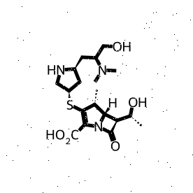 C[C@@H](O)[C@H]1C(=O)N2C(C(=O)O)=C(S[C@@H]3CN[C@@H](CC(CO)N(C)C)C3)[C@H](C)[C@H]12